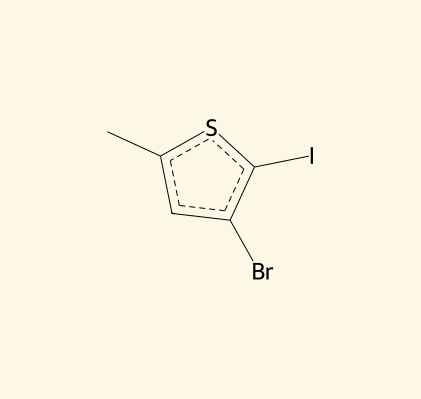 Cc1cc(Br)c(I)s1